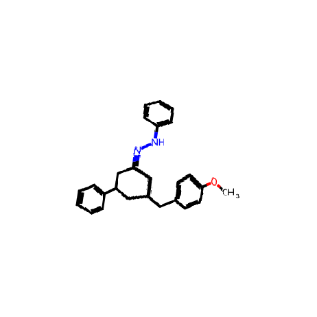 COc1ccc(CC2CC(=NNc3ccccc3)CC(c3ccccc3)C2)cc1